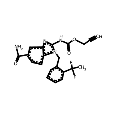 C#CCOC(=O)Nc1nc2cc(C(N)=O)ccc2n1Cc1ccccc1C(C)(F)F